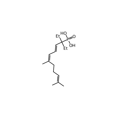 CCC(C=CC=C(C)CCC=C(C)C)(CC)P(=O)(O)O